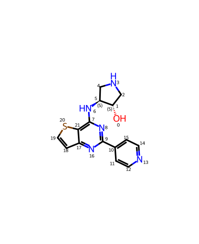 O[C@H]1CNC[C@@H]1Nc1nc(-c2ccncc2)nc2ccsc12